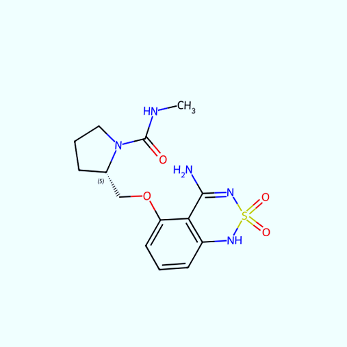 CNC(=O)N1CCC[C@H]1COc1cccc2c1C(N)=NS(=O)(=O)N2